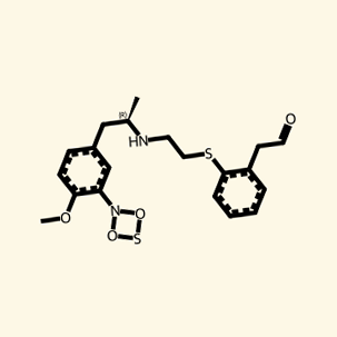 COc1ccc(C[C@@H](C)NCCSc2ccccc2CC=O)cc1N1OSO1